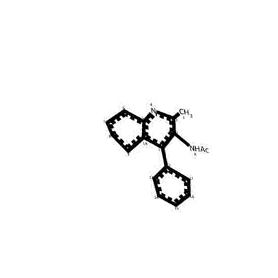 CC(=O)Nc1c(C)nc2ccccc2c1-c1ccccc1